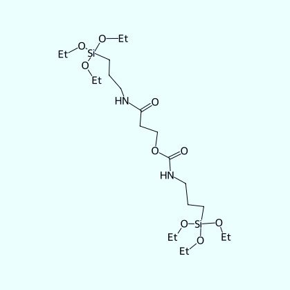 CCO[Si](CCCNC(=O)CCOC(=O)NCCC[Si](OCC)(OCC)OCC)(OCC)OCC